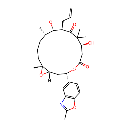 C=CC[C@H]1C(=O)C(C)(C)[C@@H](O)CC(=O)O[C@H](c2ccc3oc(C)nc3c2)C[C@@H]2O[C@]2(C)CCC[C@H](C)[C@@H]1O